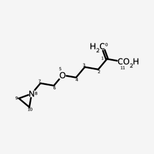 C=C(CCCOCCN1CC1)C(=O)O